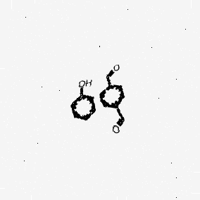 O=Cc1ccc(C=O)cc1.Oc1ccccc1